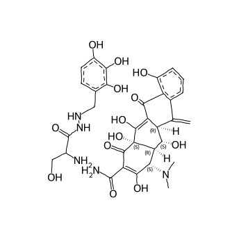 C=C1c2cccc(O)c2C(=O)C2=C(O)[C@]3(O)C(=O)C(C(N)=O)=C(O)[C@@H](N(C)C)[C@@H]3[C@@H](O)[C@H]12.NC(CO)C(=O)NNCc1ccc(O)c(O)c1O